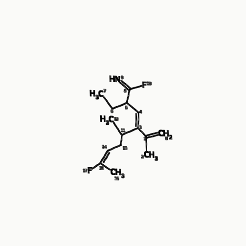 C=C(C)/C(=C/C(CC)C(=N)F)C(C)C/C=C(\C)F